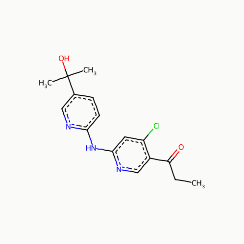 CCC(=O)c1cnc(Nc2ccc(C(C)(C)O)cn2)cc1Cl